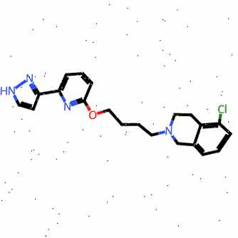 Clc1cccc2c1CCN(CCCCOc1cccc(-c3cc[nH]n3)n1)C2